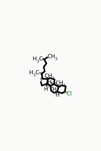 CC(C)CCC[C@@H](C)[C@H]1CC[C@H]2[C@@H]3CC[C@H]4C[C@@H](Cl)CC[C@]4(C)[C@H]3CC[C@]12C